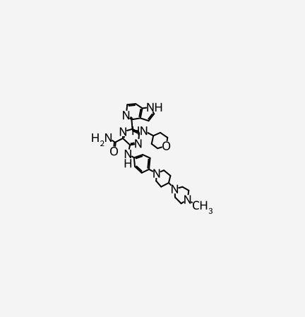 CN1CCN(C2CCN(c3ccc(Nc4nc(NC5CCOCC5)c(-c5nccc6[nH]ccc56)nc4C(N)=O)cc3)CC2)CC1